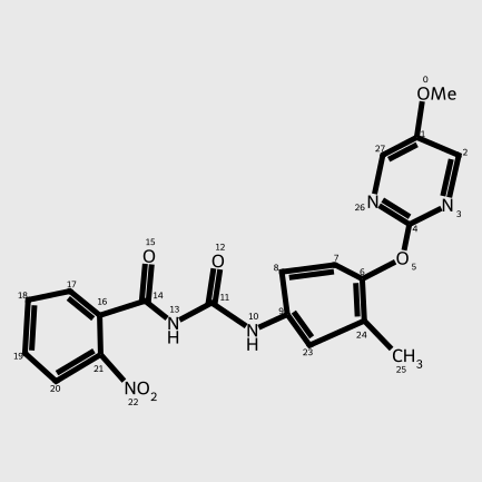 COc1cnc(Oc2ccc(NC(=O)NC(=O)c3ccccc3[N+](=O)[O-])cc2C)nc1